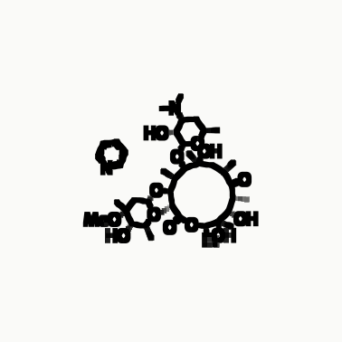 CC[C@H]1OC(=O)[C@H](C)[C@@H](O[C@H]2C[C@@](C)(OC)[C@@H](O)[C@H](C)O2)[C@@H](C)[C@@H](O[C@@H]2O[C@H](C)C[C@H](N(C)C)[C@H]2O)[C@](C)(O)C[C@@H](C)C(=O)[C@H](C)[C@H](O)[C@]1(C)O.c1ccncc1